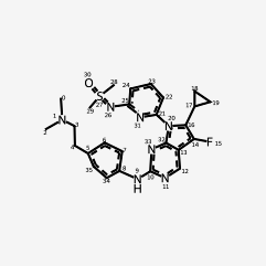 CN(C)CCc1ccc(Nc2ncc3c(F)c(C4CC4)n(-c4cccc(N=S(C)(C)=O)n4)c3n2)cc1